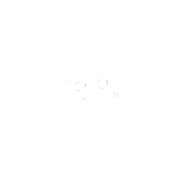 O=C(O)c1cc(O)cc(Oc2ccc(C(=O)N3CCC3)cc2)c1